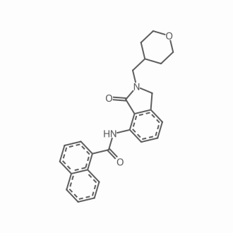 O=C(Nc1cccc2c1C(=O)N(CC1CCOCC1)C2)c1cccc2ccccc12